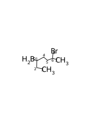 BC(CC)CCC(C)Br